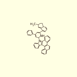 CC1C=C2C(C3=CC(c4ccccc4)=CC(n4c5ccccc5c5c6c7ccccc7ccc6c6ccccc6c54)N3)=CC=CC2CC1